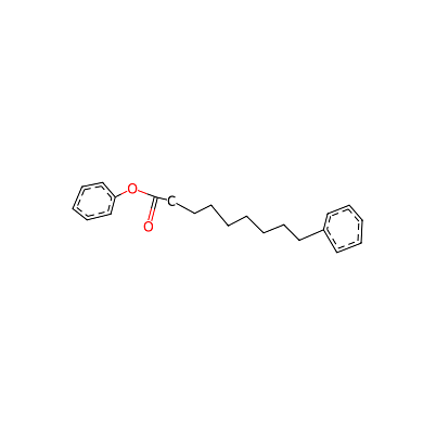 O=C(CCCCCCCCc1ccccc1)Oc1ccccc1